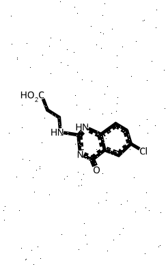 O=C(O)CCNc1nc(=O)c2cc(Cl)ccc2[nH]1